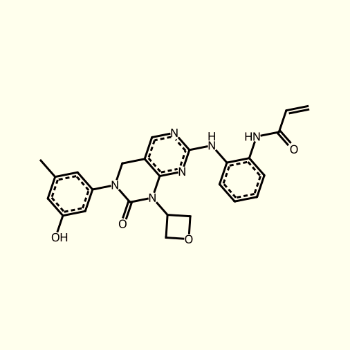 C=CC(=O)Nc1ccccc1Nc1ncc2c(n1)N(C1COC1)C(=O)N(c1cc(C)cc(O)c1)C2